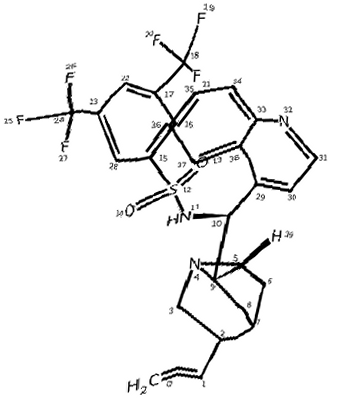 C=CC1CN2CCC1C[C@H]2[C@@H](NS(=O)(=O)c1cc(C(F)(F)F)cc(C(F)(F)F)c1)c1ccnc2ccccc12